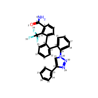 NC(=O)c1cccc(-c2ccccc2-c2ccccc2-n2cc(-c3ccccc3)nn2)c1C(F)(F)F